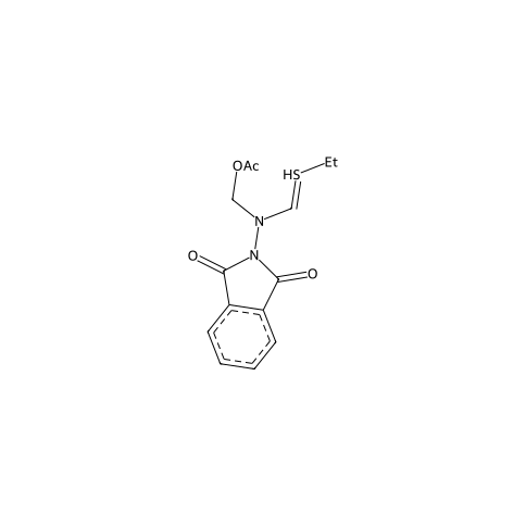 CC[SH]=CN(COC(C)=O)N1C(=O)c2ccccc2C1=O